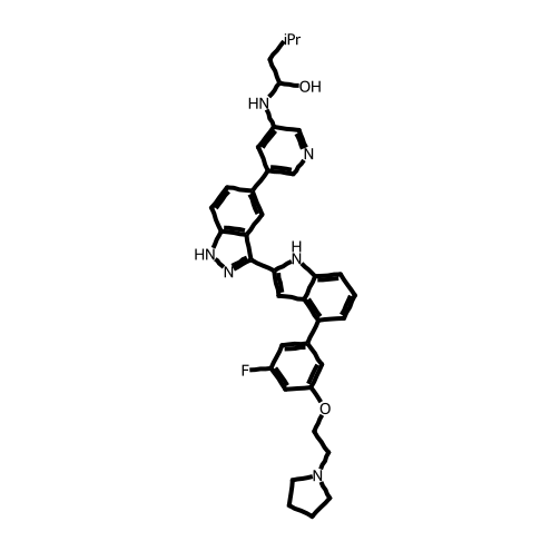 CC(C)CC(O)Nc1cncc(-c2ccc3[nH]nc(-c4cc5c(-c6cc(F)cc(OCCN7CCCC7)c6)cccc5[nH]4)c3c2)c1